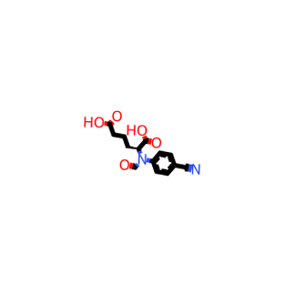 N#Cc1ccc(N(C=O)[C@@H](CCCC(=O)O)C(=O)O)cc1